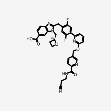 N#CCCNC(=O)c1ccc(COc2cccc(-c3cc(F)c(Cc4nc5ccc(C(=O)O)cc5n4C[C@@H]4CCO4)cc3F)n2)cn1